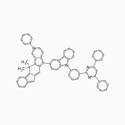 CC1(C)C2=c3ccccc3=CC2=Cc2c(-c3ccc4c(c3)c3ccccc3n4-c3cccc(-c4nc(-c5ccccc5)cc(-c5ccccc5)n4)c3)c3ccn(-c4ccccc4)cc-3c21